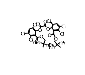 CCCC(C)(CCC)COC(=O)c1c(Cl)c(Cl)cc(Cl)c1OC(=O)C(=O)Oc1c(Cl)cc(Cl)c(Cl)c1C(=O)OCC(C)(CCC)CCC